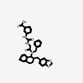 O=C(NCC(=O)N(Cc1ccccc1)C1c2ccccc2CCC1Cc1ccc2c(c1)OCO2)Nc1cccc(C(=O)O)c1